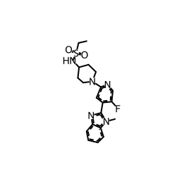 CCS(=O)(=O)NC1CCN(c2cc(-c3nc4ccccc4n3C)c(F)cn2)CC1